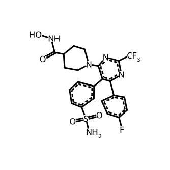 NS(=O)(=O)c1cccc(-c2c(-c3ccc(F)cc3)nc(C(F)(F)F)nc2N2CCC(C(=O)NO)CC2)c1